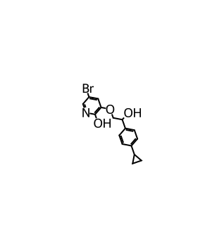 Oc1ncc(Br)cc1OCC(O)c1ccc(C2CC2)cc1